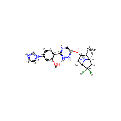 CO[C@@H]1[C@@H](Oc2cnc(-c3ccc(-n4ccnc4)cc3O)nn2)C[C@@]2(C)N[C@]1(C)CC2(F)F